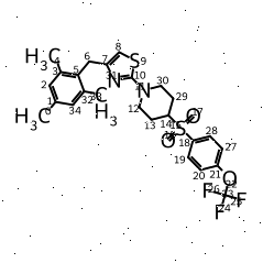 Cc1cc(C)c(Cc2csc(N3CCC(S(=O)(=O)c4ccc(OC(F)(F)F)cc4)CC3)n2)c(C)c1